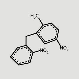 [CH2]c1ccc([N+](=O)[O-])cc1Cc1ccccc1[N+](=O)[O-]